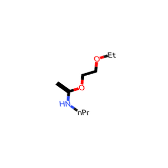 C=C(NCCC)OCCOCC